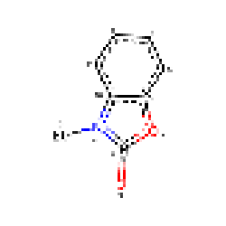 [CH2]Cn1c(=O)oc2ccccc21